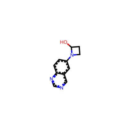 OC1CCN1c1ccc2ncncc2c1